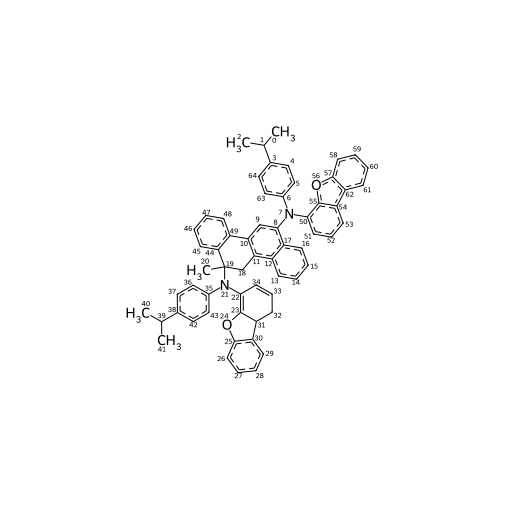 CC(C)c1ccc(N(c2cc3c(c4ccccc24)CC(C)(N(C2=C4Oc5ccccc5C4CC=C2)c2ccc(C(C)C)cc2)c2ccccc2-3)c2cccc3c2oc2ccccc23)cc1